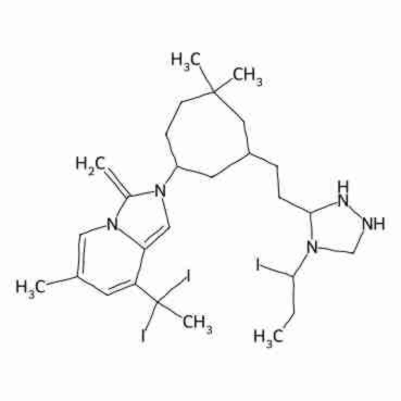 C=C1N2C=C(C)C=C(C(C)(I)I)C2=CN1C1CCC(C)(C)CC(CCC2NNCN2C(I)CC)C1